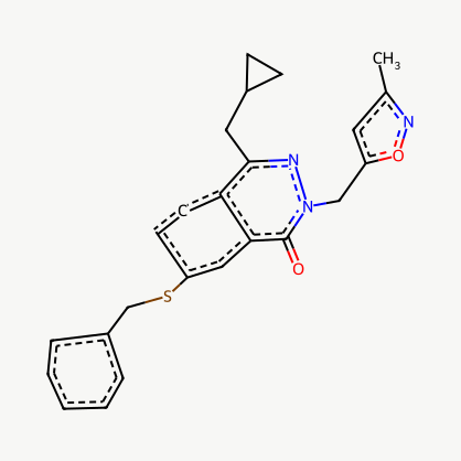 Cc1cc(Cn2nc(CC3CC3)c3ccc(SCc4ccccc4)cc3c2=O)on1